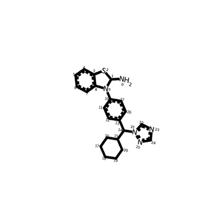 NC1Sc2ccccc2N1c1ccc(C(C2CCCCC2)n2cncn2)cc1